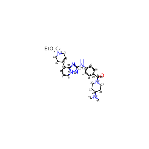 CCOC(=O)N1CC=C(c2cccn3nc(Nc4ccc(C(=O)N5CCC(N(C)C)CC5)cc4)nc23)CC1